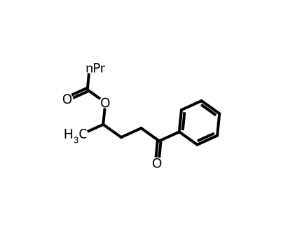 CCCC(=O)OC(C)CCC(=O)c1ccccc1